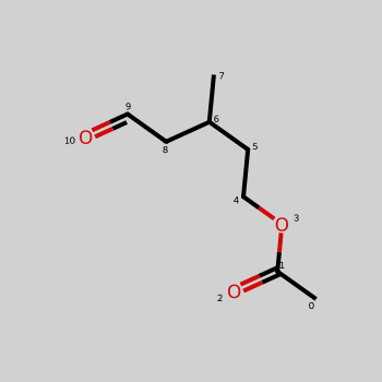 CC(=O)OCCC(C)CC=O